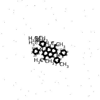 Cc1cccc(N(c2ccccc2)c2cc(C(C)C)c3ccc4c(N(c5ccccc5)c5cccc([Si](C)(C)C)c5)cc(C(C)C)c5ccc2c3c54)c1